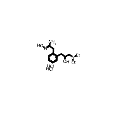 CCN(CC)CC(O)Cc1ccccc1CC(N)=NO.Cl.Cl